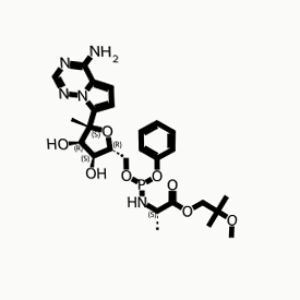 COC(C)(C)COC(=O)[C@H](C)NP(OC[C@H]1O[C@@](C)(c2ccc3c(N)ncnn23)[C@H](O)[C@@H]1O)Oc1ccccc1